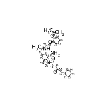 CC(Cc1cc2c(c(C(N)=O)c1)N(CCCC(=O)OCc1ccccc1)CC2)NCCOc1ccccc1OC(C)C